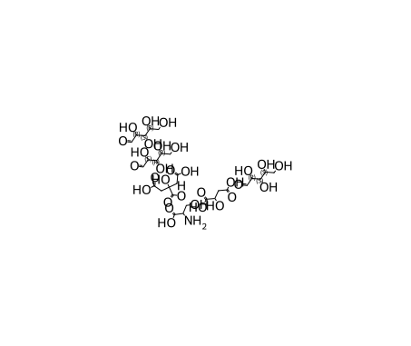 NC(CO)C(=O)O.O=C(O)CC(O)(CC(=O)O)C(=O)O.O=C(O)CC(O)C(=O)O.O=C[C@@H](O)[C@H](O)[C@H](O)CO.O=C[C@H](O)[C@@H](O)[C@@H](O)CO.O=C[C@H](O)[C@@H](O)[C@H](O)CO